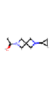 CC(=O)N1CC2(C1)CN(C1CC1)C2